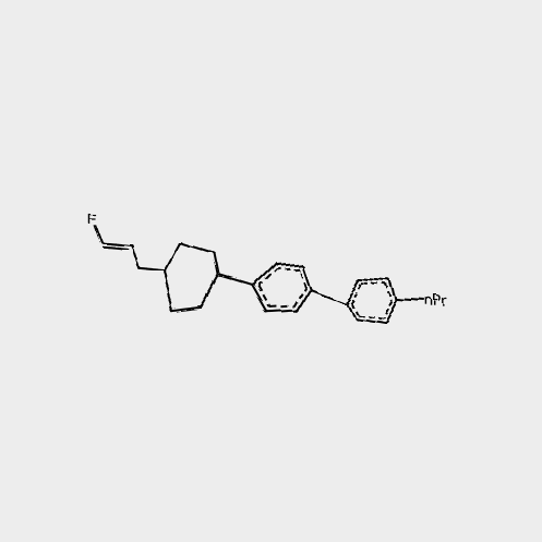 CCCc1ccc(-c2ccc(C3CCC(C/C=C/F)CC3)cc2)cc1